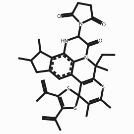 C=C(C)C1=C(C(=C)C)SC2(S1)C(C)=C(C)SC1=C2c2cc3c(c4c2N(C(=O)C(N2C(=O)CCC2=O)N4)C1(C)CC)C(C)C(C)C3